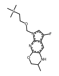 CC1COc2nc3c(cc2N1)c(F)cn3COCC[Si](C)(C)C